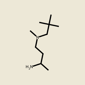 CC(N)CCN(C)CC(C)(C)C